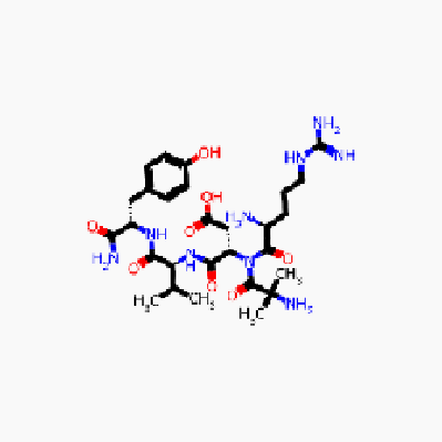 CC(C)[C@H](NC(=O)[C@H](CC(=O)O)N(C(=O)[C@@H](N)CCCNC(=N)N)C(=O)C(C)(C)N)C(=O)N[C@@H](Cc1ccc(O)cc1)C(N)=O